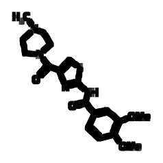 COc1ccc(C(=O)Nc2nc(C(=O)N3CCN(C)CC3)cs2)cc1OC